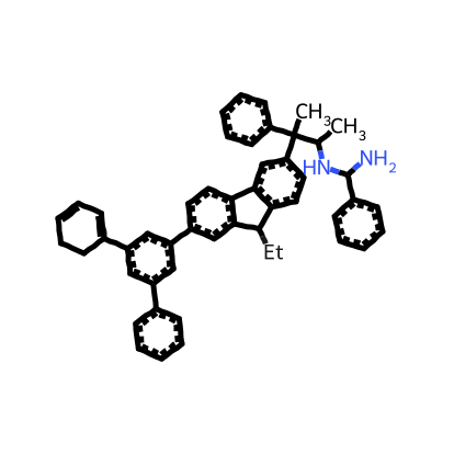 CCC1c2ccc(C(C)(c3ccccc3)C(C)NC(N)c3ccccc3)cc2-c2ccc(-c3cc(C4=CC=CCC4)cc(-c4ccccc4)c3)cc21